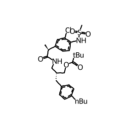 CCCCc1ccc(C[C@H](CNC(=O)[C@@H](C)c2ccc(NS(C)(=O)=O)c(Cl)c2)COC(=O)C(C)(C)C)cc1